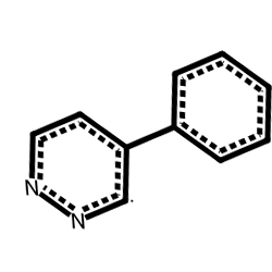 [c]1nnccc1-c1ccccc1